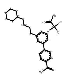 NC(=O)c1ccc(-c2cccc(CCNCC3CCCCC3)c2)cc1.O=C(O)C(F)(F)F